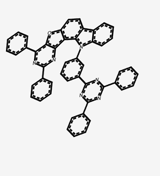 c1ccc(-c2nc(-c3ccccc3)nc(-c3cccc(-n4c5ccccc5c5ccc6oc7c(-c8ccccc8)nc(-c8ccccc8)nc7c6c54)c3)n2)cc1